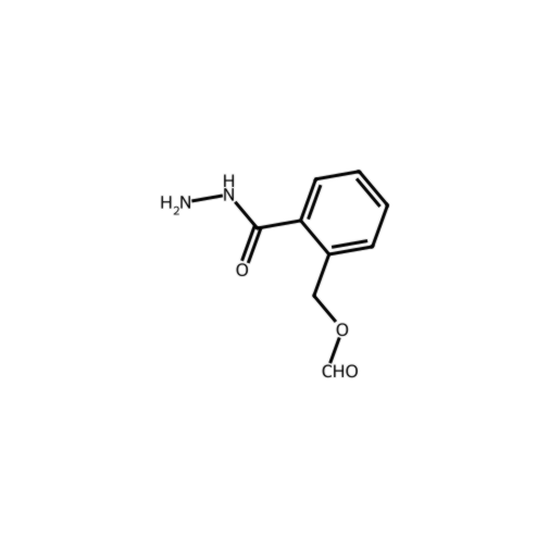 NNC(=O)c1ccccc1COC=O